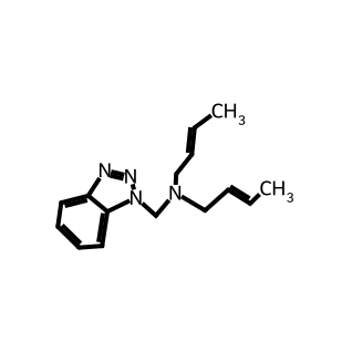 CC=CCN(CC=CC)Cn1nnc2ccccc21